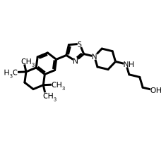 CC1(C)CCC(C)(C)c2cc(-c3csc(N4CCC(NCCCO)CC4)n3)ccc21